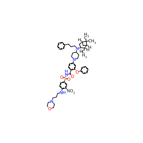 C[C@@H]1[C@@H](N(CCCc2ccccc2)C2CCN(c3ccc(C(=O)NS(=O)(=O)c4ccc(NCCCN5CCOCC5)c([N+](=O)[O-])c4)c(Oc4ccccc4)c3)CC2)C[C@H]2C[C@@H]1C2(C)C